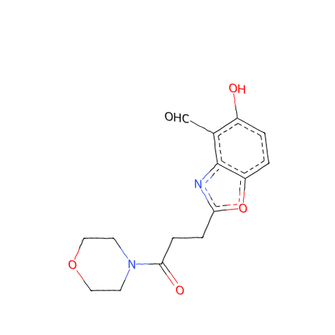 O=Cc1c(O)ccc2oc(CCC(=O)N3CCOCC3)nc12